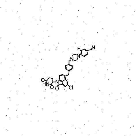 N#Cc1ccc(N2CCN(Cc3ccc(Cc4ccc5c6c(cc(Cl)cc46)C(=O)N5C4CCC(=O)NC4=O)cc3)CC2)c(F)c1